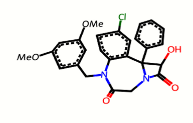 COc1cc(CN2C(=O)CN3C(=O)C(O)C3(c3ccccc3)c3cc(Cl)ccc32)cc(OC)c1